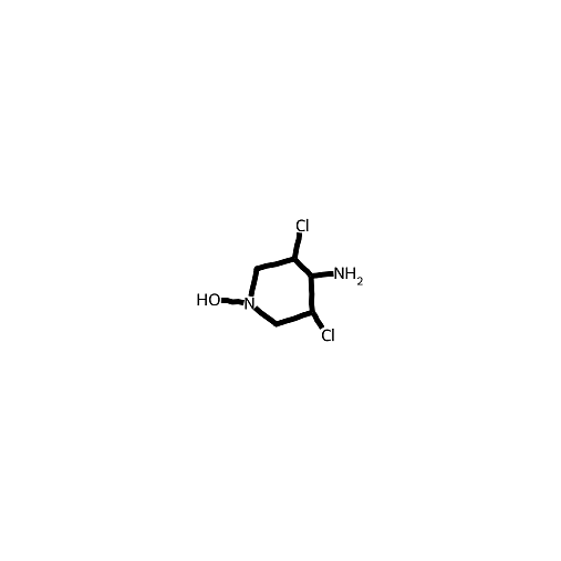 NC1C(Cl)CN(O)CC1Cl